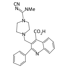 CN/C(=N\C#N)N1CCN(Cc2c(-c3ccccc3)nc3ccccc3c2C(=O)O)CC1